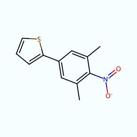 Cc1cc(-c2cccs2)cc(C)c1[N+](=O)[O-]